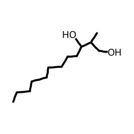 CCCCCCCCCC(O)C(C)CO